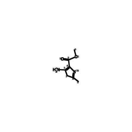 COC(=O)C1=C(N)CC(C)=N1